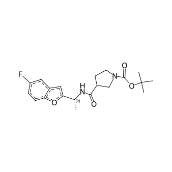 C[C@@H](NC(=O)C1CCN(C(=O)OC(C)(C)C)C1)c1cc2cc(F)ccc2o1